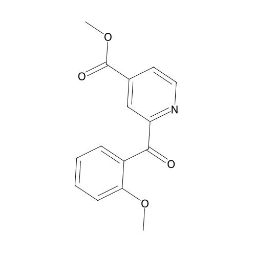 COC(=O)c1ccnc(C(=O)c2ccccc2OC)c1